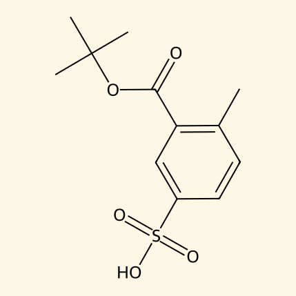 Cc1ccc(S(=O)(=O)O)cc1C(=O)OC(C)(C)C